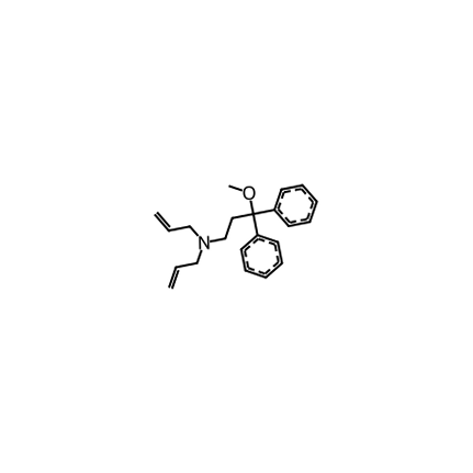 C=CCN(CC=C)CCC(OC)(c1ccccc1)c1ccccc1